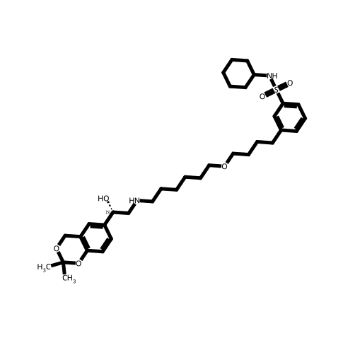 CC1(C)OCc2cc([C@H](O)CNCCCCCCOCCCCc3cccc(S(=O)(=O)NC4CCCCC4)c3)ccc2O1